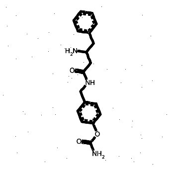 NC(=O)Oc1ccc(CNC(=O)CC(N)Cc2ccccc2)cc1